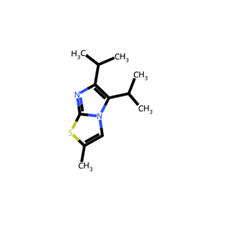 Cc1cn2c(C(C)C)c(C(C)C)nc2s1